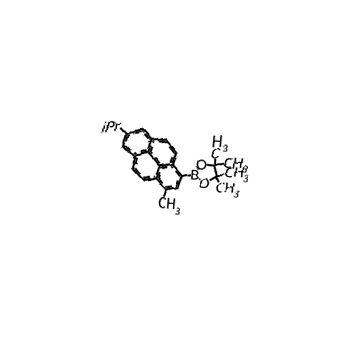 Cc1cc(B2OC(C)(C)C(C)(C)O2)c2ccc3cc(C(C)C)cc4ccc1c2c43